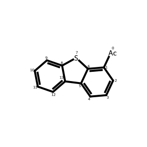 CC(=O)c1cccc2c1sc1ccccc12